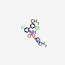 Cc1cc(Cl)cc(-c2cc(F)ccc2NC(=O)OC[C@@H]2CCN(C)C2)c1